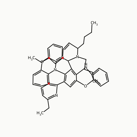 CCCCC1C=CN(CCCC)C(c2c3c(cc(-c4nccc(CC)n4)c2N2c4ccccc4Oc4ccccc42)Oc2ccccc2N3)N1CCCC